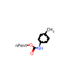 CCCCCOC(=O)Nc1ccc(C)cc1